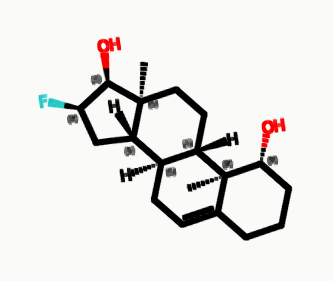 C[C@]12CC[C@H]3[C@@H](CC=C4CCC[C@@H](O)[C@@]43C)[C@@H]1C[C@@H](F)[C@H]2O